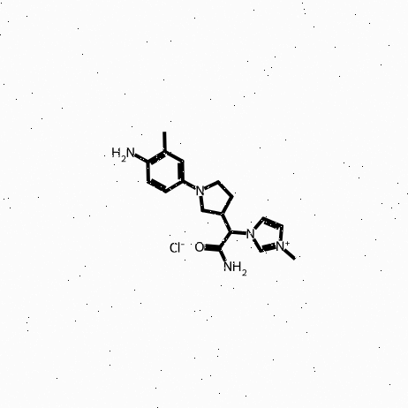 Cc1cc(N2CCC(C(C(N)=O)n3cc[n+](C)c3)C2)ccc1N.[Cl-]